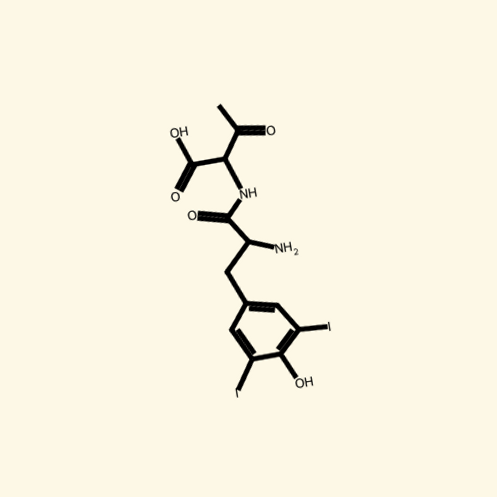 CC(=O)C(NC(=O)C(N)Cc1cc(I)c(O)c(I)c1)C(=O)O